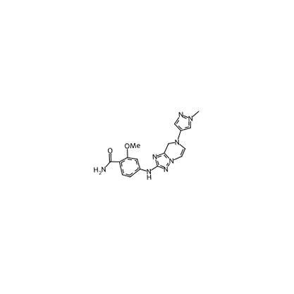 COc1cc(Nc2nc3n(n2)C=CN(c2cnn(C)c2)C3)ccc1C(N)=O